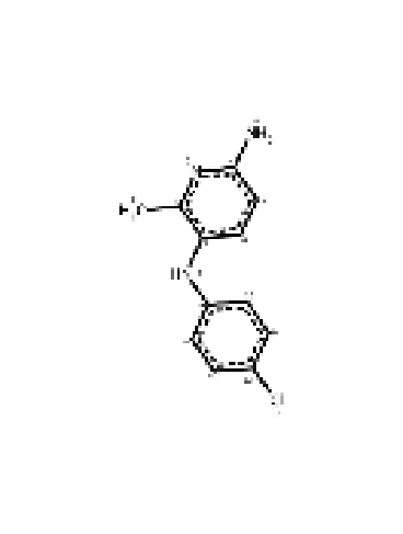 Cc1nc(N)ccc1Nc1ccc(Cl)cc1